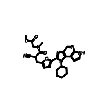 COC(=O)CN(C)C(=O)C(C#N)Cc1ccc(-c2nc3cnc4[nH]ccc4c3n2C2CCCCC2)o1